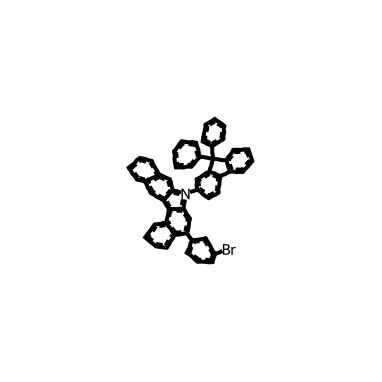 Brc1cccc(-c2cc3c(c4ccccc24)c2cc4ccccc4cc2n3-c2ccc3c(c2)C(c2ccccc2)(c2ccccc2)c2ccccc2-3)c1